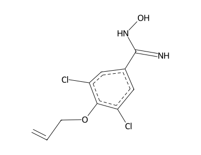 C=CCOc1c(Cl)cc(C(=N)NO)cc1Cl